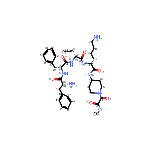 CCNC(=O)C(=O)N1CCC(NC(=O)[C@@H](CCCCN)NC(=O)[C@@H](CC(C)C)NC(=O)[C@@H](Cc2ccccc2)NC(=O)[C@H](N)Cc2ccccc2)CC1